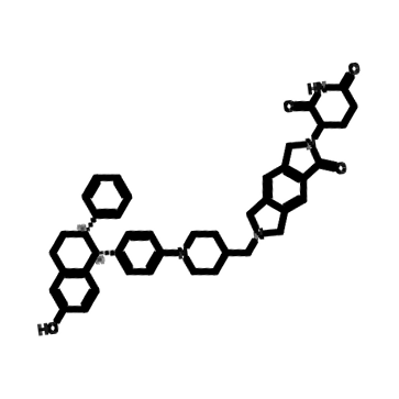 O=C1CCC(N2Cc3cc4c(cc3C2=O)CN(CC2CCN(c3ccc([C@@H]5c6ccc(O)cc6CC[C@@H]5c5ccccc5)cc3)CC2)C4)C(=O)N1